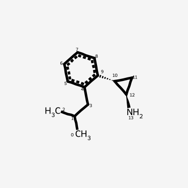 CC(C)Cc1ccccc1[C@@H]1C[C@H]1N